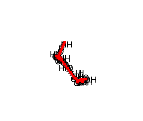 CCNCCOCCOCCNc1cc(NCCOCCOCCNC(=O)CCCCCCCNC(=O)CC[C@H](NC(=O)N[C@@H](CCC(=O)O)C(=O)O)C(=O)O)c([N+](=O)[O-])cc1[N+](=O)[O-]